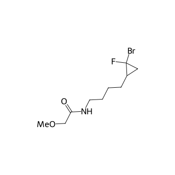 COCC(=O)NCCCCC1CC1(F)Br